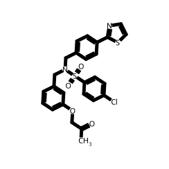 CC(=O)COc1cccc(CN(Cc2ccc(-c3nccs3)cc2)S(=O)(=O)c2ccc(Cl)cc2)c1